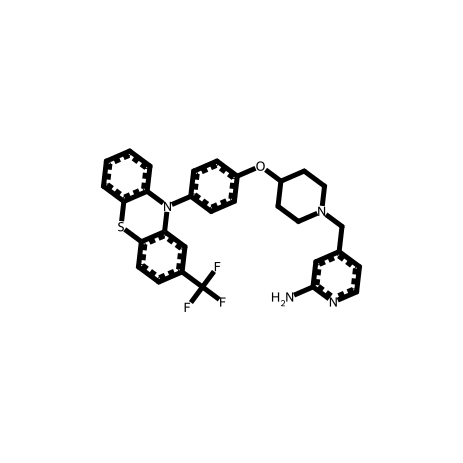 Nc1cc(CN2CCC(Oc3ccc(N4c5ccccc5Sc5ccc(C(F)(F)F)cc54)cc3)CC2)ccn1